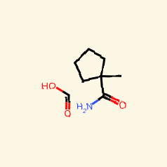 CC1(C(N)=O)CCCC1.O=CO